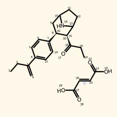 C=C(CC)c1ccc([C@H]2CC3CCC(N3)[C@H]2C(=O)CC)cc1.O=C(O)/C=C/C(=O)O